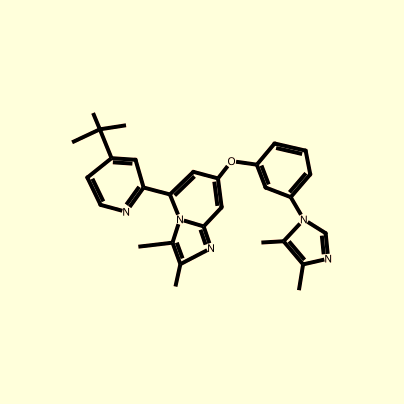 Cc1ncn(-c2cccc(Oc3cc(-c4cc(C(C)(C)C)ccn4)n4c(C)c(C)nc4c3)c2)c1C